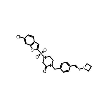 O=C1CN(S(=O)(=O)c2cc3ccc(Cl)cc3s2)CCN1Cc1ccc(C=NN2CCC2)cc1